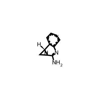 NC1=Nc2c[c]ccc2[C@H]2C[C@@H]12